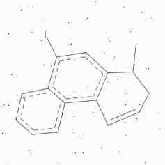 CC1CC=Cc2c1cc(I)c1ccccc21